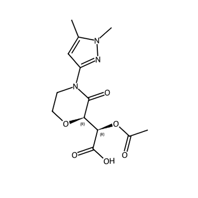 CC(=O)O[C@@H](C(=O)O)[C@H]1OCCN(c2cc(C)n(C)n2)C1=O